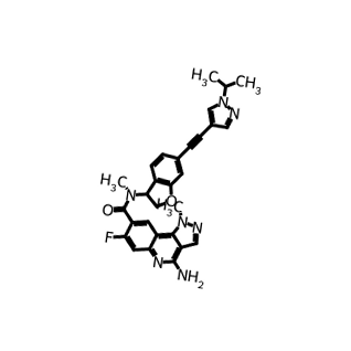 CC(C)n1cc(C#Cc2ccc3c(c2)OCC3N(C)C(=O)c2cc3c(cc2F)nc(N)c2cnn(C)c23)cn1